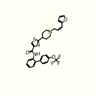 O=C(Nc1ccccc1-c1ccc(OC(F)(F)F)cc1)c1csc(C2CCN(C/C=C\c3ccco3)CC2)n1